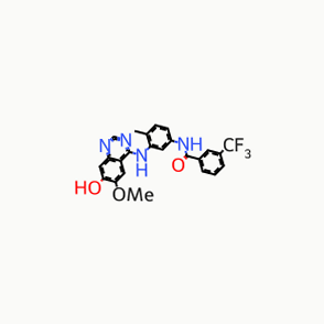 COc1cc2c(Nc3cc(NC(=O)c4cccc(C(F)(F)F)c4)ccc3C)ncnc2cc1O